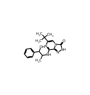 CC(Nc1nc(C(C)(C)C)cn2c(=O)[nH]nc12)C(O)c1ccccc1